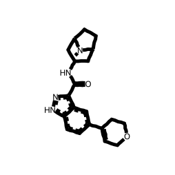 CN1C2CCC1CC(NC(=O)c1n[nH]c3ccc(C4=CCOCC4)cc13)C2